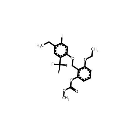 CCOc1cccc(OC(=O)OC)c1COc1cc(I)c(CC)cc1C(F)(F)F